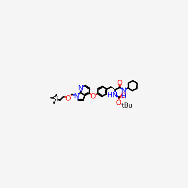 CC(C)(C)OC(=O)N[C@@H](Cc1ccc(Oc2ccnc3c2ccn3COCC[Si](C)(C)C)cc1)C(=O)NC1CCCCC1